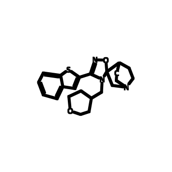 c1ccc2sc(C3=NOC4(CN5CCC4CC5)N3CC3CCOCC3)cc2c1